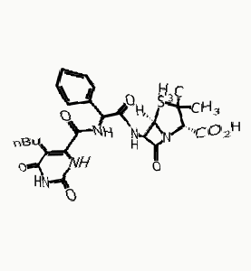 CCCCc1c(C(=O)NC(C(=O)N[C@@H]2C(=O)N3[C@@H]2SC(C)(C)[C@@H]3C(=O)O)c2ccccc2)[nH]c(=O)[nH]c1=O